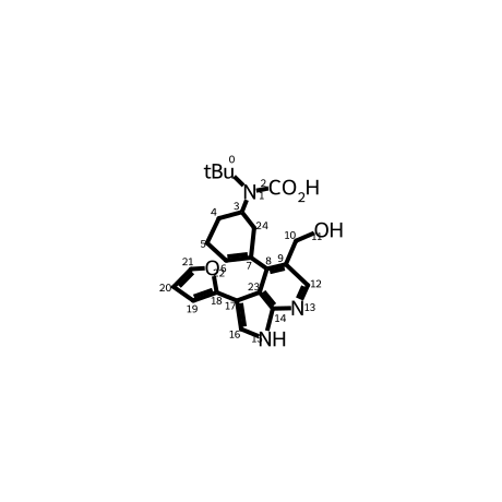 CC(C)(C)N(C(=O)O)C1CCC=C(c2c(CO)cnc3[nH]cc(-c4ccco4)c23)C1